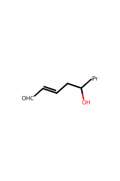 CC(C)C(O)CC=CC=O